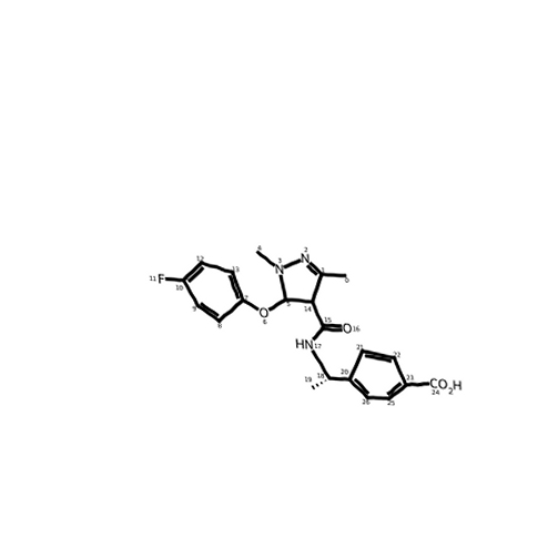 CC1=NN(C)C(Oc2ccc(F)cc2)C1C(=O)N[C@@H](C)c1ccc(C(=O)O)cc1